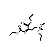 CCOC(=O)N=C(CC[P@](=O)(OC)OCC)C(=O)OCC